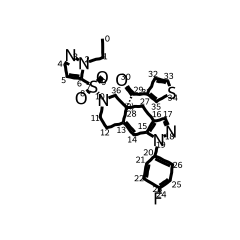 CCn1nccc1S(=O)(=O)N1CCC2=Cc3c(cnn3-c3ccc(F)cc3)C[C@]2(C(=O)c2ccsc2)C1